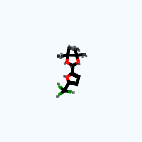 CC1(C)OB(c2ccc(C(F)(F)F)o2)OC1(C)C